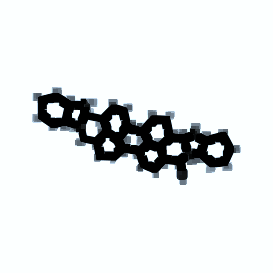 O=c1c2ccc3c4ccc5c6c(ccc(c7ccc(c2c37)c2nc3ccccc3n12)c64)-c1nc2ccccc2n1C5